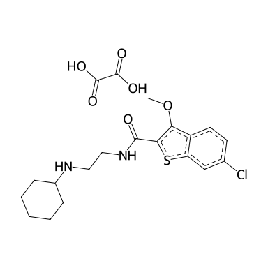 COc1c(C(=O)NCCNC2CCCCC2)sc2cc(Cl)ccc12.O=C(O)C(=O)O